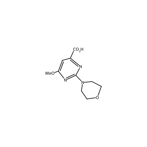 COc1cc(C(=O)O)nc(N2CCOCC2)n1